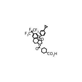 O=C(O)[C@H]1CC[C@H](C(=O)N2CCC3(S(=O)(=O)c4ccc(C5CC5)cc4)c4ccc(C(F)(C(F)(F)F)C(F)(F)F)cc4CCC23)CC1